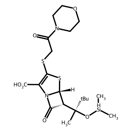 C[SiH](C)O[C@@](C)([C@@H]1C(=O)N2C(C(=O)O)=C(SCC(=O)N3CCOCC3)S[C@H]12)C(C)(C)C